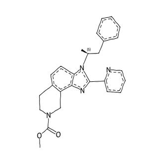 COC(=O)N1CCc2ccc3c(nc(-c4ccccn4)n3[C@@H](C)Cc3ccccc3)c2C1